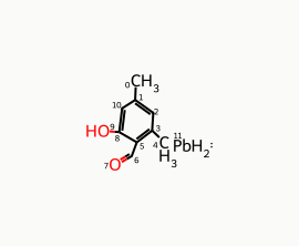 Cc1cc(C)c(C=O)c(O)c1.[PbH2]